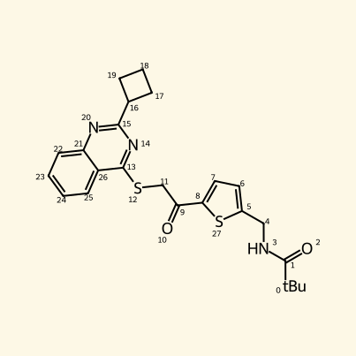 CC(C)(C)C(=O)NCc1ccc(C(=O)CSc2nc(C3CCC3)nc3ccccc23)s1